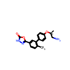 C[C@@H](CN)Oc1ccc(-c2cc(-c3n[nH]c(=O)o3)ccc2C(F)(F)F)cc1